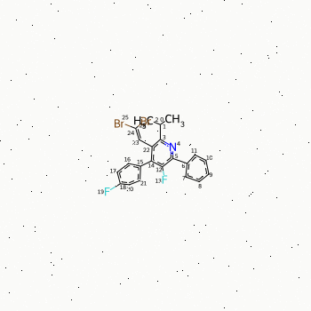 CC(C)c1nc(-c2ccccc2)c(F)c(-c2ccc(F)cc2)c1C=C(Br)Br